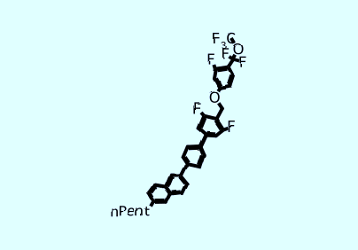 CCCCCc1ccc2cc(-c3ccc(-c4cc(F)c(COc5ccc(C(F)(F)OC(F)(F)F)c(F)c5)c(F)c4)cc3)ccc2c1